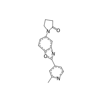 Cc1cc(-c2nc3cc(N4CCCC4=O)ccc3o2)ccn1